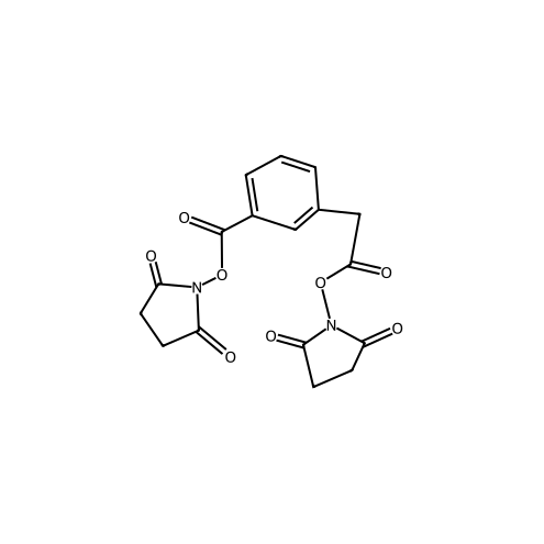 O=C(Cc1cccc(C(=O)ON2C(=O)CCC2=O)c1)ON1C(=O)CCC1=O